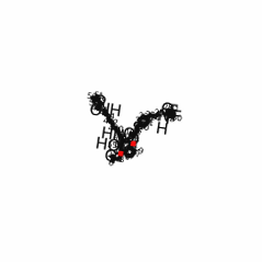 CC(=O)CC[C@]12CC[C@@H](C)[C@](C)(C1)[C@H](OC(=O)CSc1ccc(CCCNC(=O)C(F)(F)F)cc1)C[C@](C)(CNCCCCCCNC(=O)OC(C)(C)C)[C@@H](O)[C@@H]2C